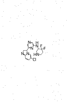 FC1(F)CCNCC1Nc1cncc(C2CN=C3C=CC(Cl)=CN32)n1